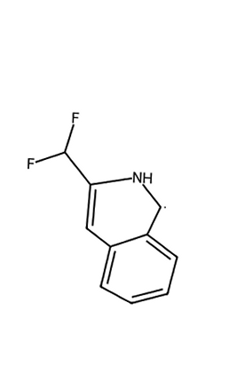 FC(F)C1=Cc2ccccc2[CH]N1